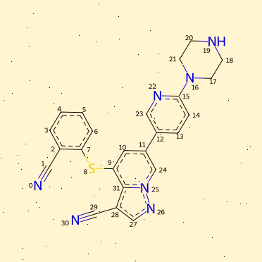 N#Cc1ccccc1Sc1cc(-c2ccc(N3CCNCC3)nc2)cn2ncc(C#N)c12